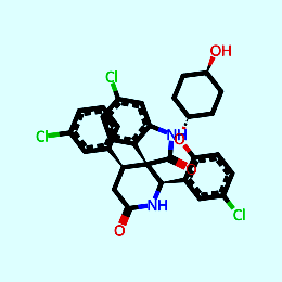 O=C1C[C@@H](c2cccc(Cl)c2)[C@]2(C(=O)Nc3cc(Cl)ccc32)[C@@H](c2cc(Cl)ccc2O[C@H]2CC[C@H](O)CC2)N1